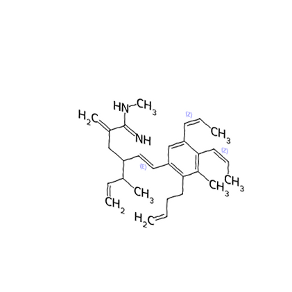 C=CCCc1c(/C=C/C(CC(=C)C(=N)NC)C(C)C=C)cc(/C=C\C)c(/C=C\C)c1C